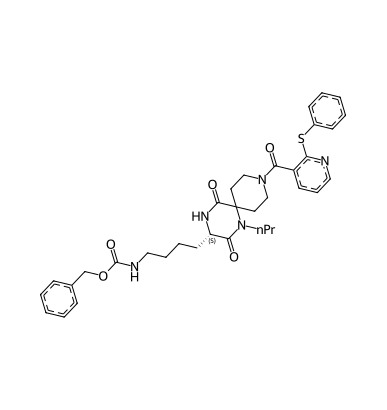 CCCN1C(=O)[C@H](CCCCNC(=O)OCc2ccccc2)NC(=O)C12CCN(C(=O)c1cccnc1Sc1ccccc1)CC2